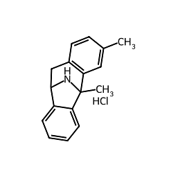 Cc1ccc2c(c1)C1(C)NC(C2)c2ccccc21.Cl